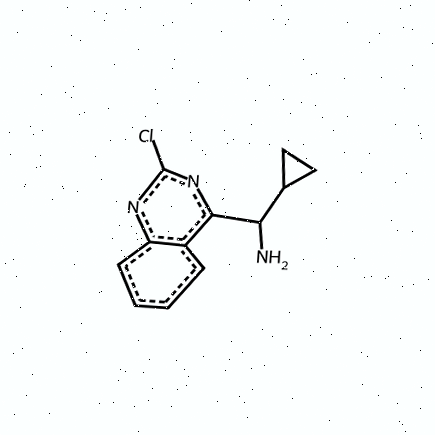 NC(c1nc(Cl)nc2ccccc12)C1CC1